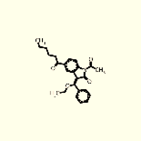 CCCCCC(=O)c1ccc2c(c1)C(=C(OCC)c1ccccc1)C(=O)N2C(C)=O